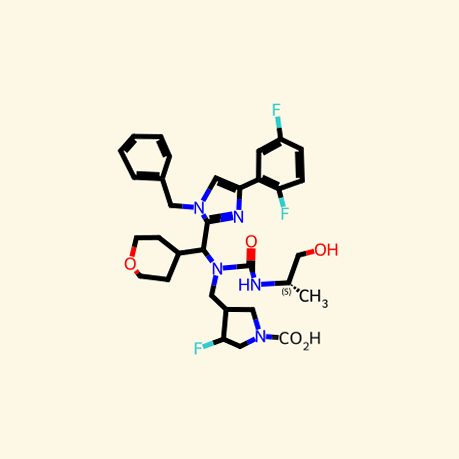 C[C@@H](CO)NC(=O)N(CC1CN(C(=O)O)CC1F)C(c1nc(-c2cc(F)ccc2F)cn1Cc1ccccc1)C1CCOCC1